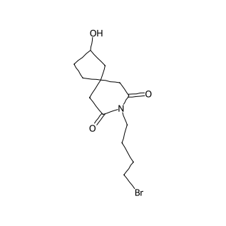 O=C1CC2(CCC(O)C2)CC(=O)N1CCCCBr